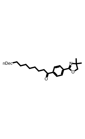 CCCCCCCCCCCCCCCCCC(=O)c1ccc(C2=NC(C)(C)CO2)cc1